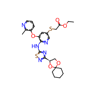 CCOC(=O)CSc1cnc(Nc2nc([C@H]3COC4(CCCCC4)O3)ns2)c(Oc2cccnc2C)c1